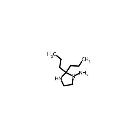 CCCC1(CCC)NCCN1N